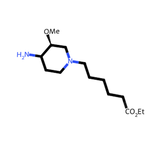 CCOC(=O)CCCCCN1CCC(N)[C@@H](OC)C1